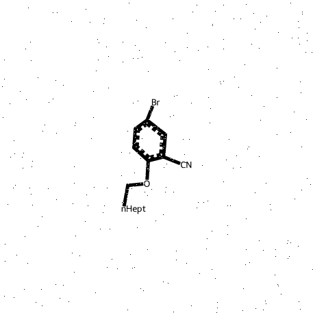 CCCCCCCCOc1ccc(Br)cc1C#N